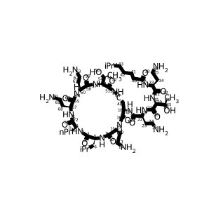 CCC[C@@H]1NC(=O)[C@@H](CC(C)C)NC(=O)[C@H](CCN)NC(=O)[C@@H](NC(=O)[C@H](CCN)NC(=O)[C@@H](NC(=O)[C@H](CCN)NC(=O)CCCCC(C)C)[C@@H](C)O)CCNC(=O)[C@H]([C@@H](C)O)NC(=O)[C@H](CCN)NC(=O)[C@H](CCN)NC1=O